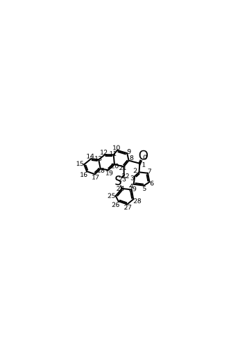 O=C(c1ccccc1)c1ccc2cc3ccccc3cc2c1CSc1ccccc1